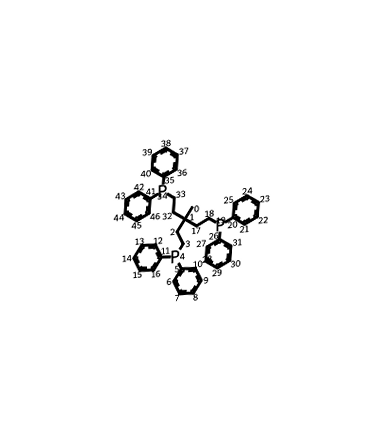 CC(CCP(c1ccccc1)c1ccccc1)(CCP(c1ccccc1)c1ccccc1)CCP(c1ccccc1)c1ccccc1